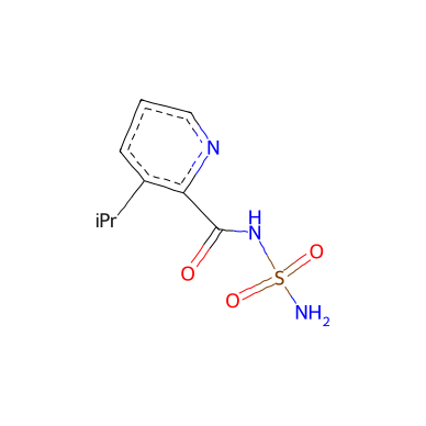 CC(C)c1cccnc1C(=O)NS(N)(=O)=O